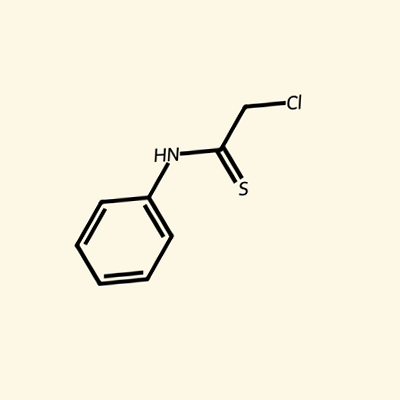 S=C(CCl)Nc1ccccc1